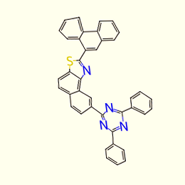 c1ccc(-c2nc(-c3ccccc3)nc(-c3ccc4ccc5sc(-c6cc7ccccc7c7ccccc67)nc5c4c3)n2)cc1